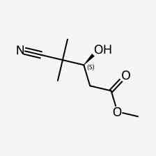 COC(=O)C[C@H](O)C(C)(C)C#N